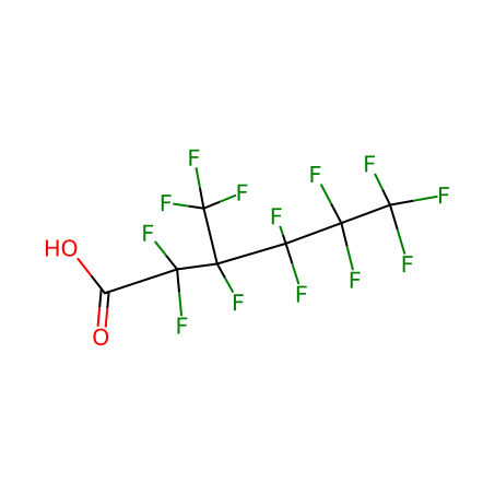 O=C(O)C(F)(F)C(F)(C(F)(F)F)C(F)(F)C(F)(F)C(F)(F)F